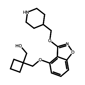 OCC1(COc2cccc3onc(OCC4CCNCC4)c23)CCC1